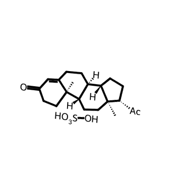 CC(=O)[C@H]1CC[C@H]2[C@@H]3CCC4=CC(=O)CC[C@]4(C)[C@H]3CC[C@]12C.O=S(=O)(O)O